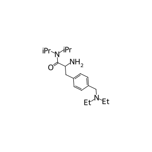 CCN(CC)Cc1ccc(CC(N)C(=O)N(C(C)C)C(C)C)cc1